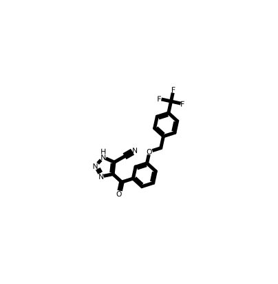 N#Cc1[nH]nnc1C(=O)c1cccc(OCc2ccc(C(F)(F)F)cc2)c1